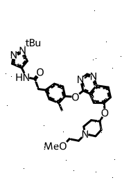 COCCN1CCC(Oc2ccc3ncnc(Oc4ccc(CC(=O)Nc5cnn(C(C)(C)C)c5)cc4C)c3c2)CC1